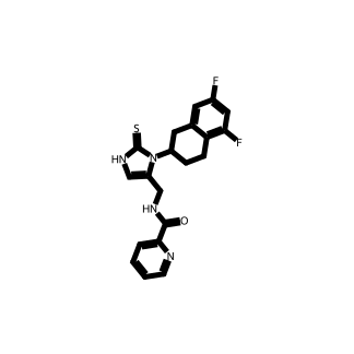 O=C(NCc1c[nH]c(=S)n1C1CCc2c(F)cc(F)cc2C1)c1ccccn1